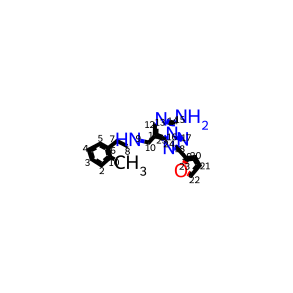 Cc1ccccc1CCNCc1cnc(N)n2nc(-c3ccco3)nc12